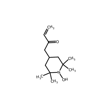 C=CC(=O)CC1CC(C)(C)N(O)C(C)(C)C1